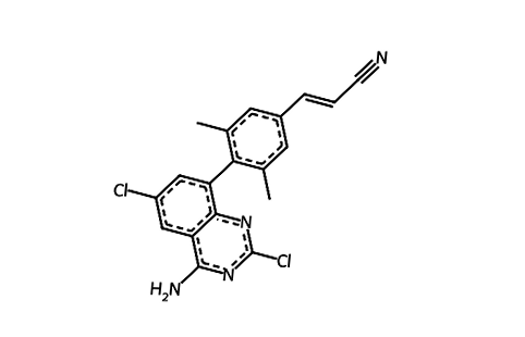 Cc1cc(C=CC#N)cc(C)c1-c1cc(Cl)cc2c(N)nc(Cl)nc12